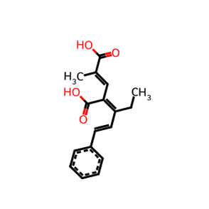 CCC(C=Cc1ccccc1)=C(C=C(C)C(=O)O)C(=O)O